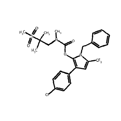 CN(CC(C)(C)S(C)(=O)=O)C(=O)Oc1c(-c2ccc(Cl)cc2)cc(C(F)(F)F)n1Cc1ccccc1